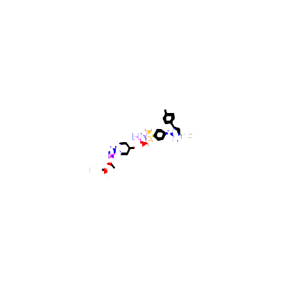 Cc1ccc(-c2cc(C(F)(F)F)nn2-c2ccc(S(=O)(=O)NC(=O)OCC3CCN(/N=N\OC(C)OC(=O)C(C)C)CC3)cc2)cc1